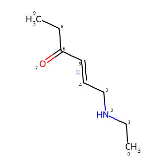 CCNC/C=C/C(=O)CC